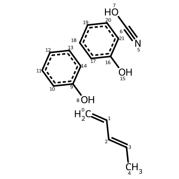 C=CC=CC.N#CO.Oc1ccccc1.Oc1ccccc1